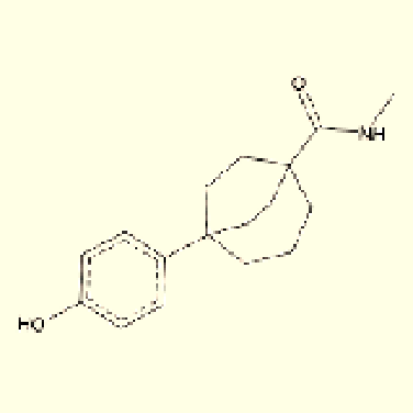 CNC(=O)C12CCCC(c3ccc(O)cc3)(CC1)CC2